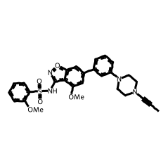 CC#CN1CCN(c2cccc(-c3cc(OC)c4c(NS(=O)(=O)c5ccccc5OC)noc4c3)c2)CC1